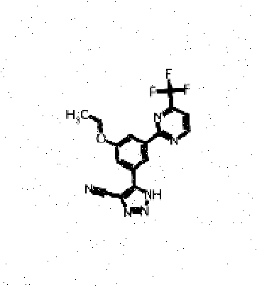 CCOc1cc(-c2nccc(C(F)(F)F)n2)cc(-c2[nH]nnc2C#N)c1